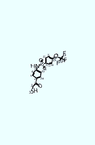 O=C(CS)c1ccc(NS(=O)(=O)c2ccc(OC(F)(F)F)cc2)cc1